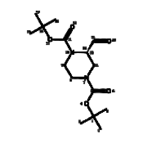 CC(C)(C)OC(=O)N1CCN(C(=O)OC(C)(C)C)[C@H](C=O)C1